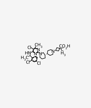 Cc1nc(N2CCC[C@@H](C3CCN([C@H]4C[C@](C)(C(=O)O)C4)CC3)C2)nc(N[C@H](C)c2ccc(Cl)cc2Cl)c1Cl